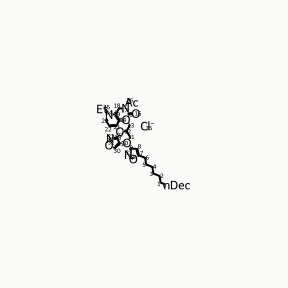 CCCCCCCCCCCCCCCCc1cc(OCC(COC(=O)N(Cc2cccc[n+]2CC)C(C)=O)Oc2ccon2)no1.[Cl-]